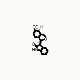 O=C1Nc2ccccc2/C1=C1\OCc2cc(C(=O)O)ccc21